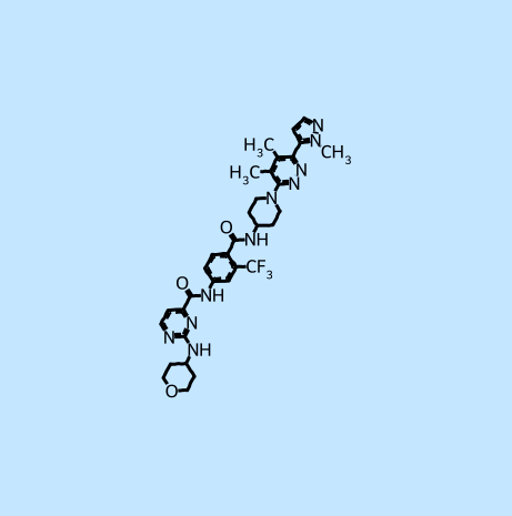 Cc1c(-c2ccnn2C)nnc(N2CCC(NC(=O)c3ccc(NC(=O)c4ccnc(NC5CCOCC5)n4)cc3C(F)(F)F)CC2)c1C